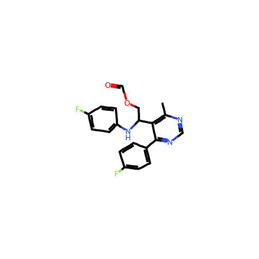 Cc1ncnc(-c2ccc(F)cc2)c1C(COC=O)Nc1ccc(F)cc1